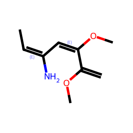 C=C(OC)/C(=C\C(N)=C/C)OC